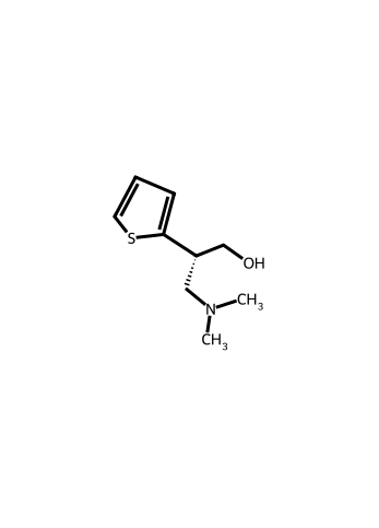 CN(C)C[C@@H](CO)c1cccs1